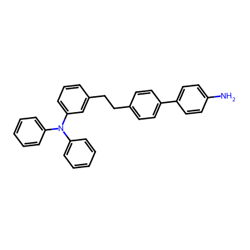 Nc1ccc(-c2ccc(CCc3cccc(N(c4ccccc4)c4ccccc4)c3)cc2)cc1